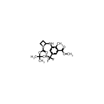 COC(=O)c1cc(C(F)(F)F)cc(NC2CCN2C(=O)OC(C)(C)C)c1C